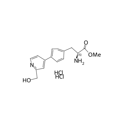 COC(=O)[C@@H](N)Cc1ccc(-c2ccnc(CO)c2)cc1.Cl.Cl